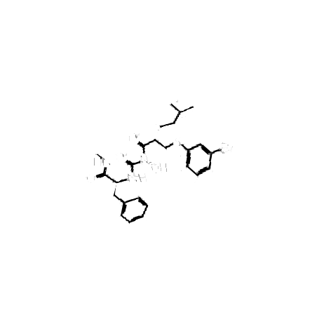 CNC(=O)[C@H](Cc1ccccc1)NC(=O)N(O)C(=O)[C@H](CCC(C)C)CSc1cccc(Br)c1